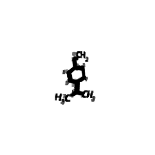 C=CC1=CCC(=C(C)C)CC1